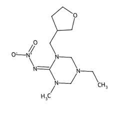 CCN1CN(C)C(=N[N+](=O)[O-])N(CC2CCOC2)C1